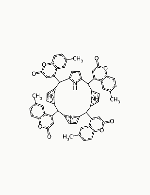 Cc1ccc2oc(=O)cc(C3c4ccc([nH]4)C(c4cc(=O)oc5ccc(C)cc45)c4ccc([nH]4)C(c4cc(=O)oc5ccc(C)cc45)c4ccc([nH]4)C(c4cc(=O)oc5ccc(C)cc45)c4ccc3[nH]4)c2c1